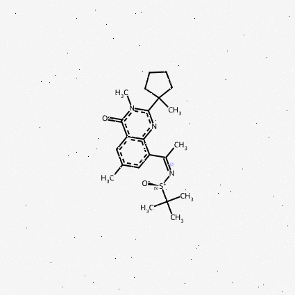 C/C(=N/[S@+]([O-])C(C)(C)C)c1cc(C)cc2c(=O)n(C)c(C3(C)CCCC3)nc12